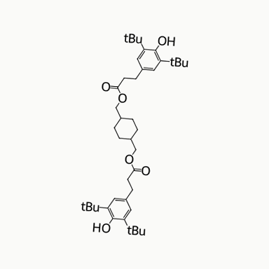 CC(C)(C)c1cc(CCC(=O)OCC2CCC(COC(=O)CCc3cc(C(C)(C)C)c(O)c(C(C)(C)C)c3)CC2)cc(C(C)(C)C)c1O